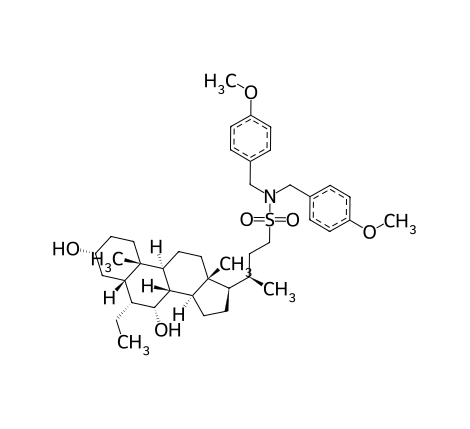 CC[C@H]1[C@@H](O)[C@@H]2[C@H](CC[C@]3(C)[C@@H]([C@H](C)CCS(=O)(=O)N(Cc4ccc(OC)cc4)Cc4ccc(OC)cc4)CC[C@@H]23)[C@@]2(C)CC[C@@H](O)C[C@@H]12